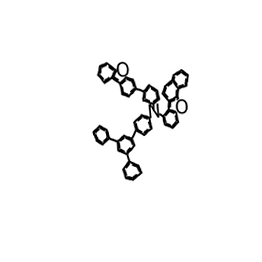 c1ccc(-c2cc(-c3ccccc3)cc(-c3ccc(N(c4cccc(-c5ccc6c(c5)oc5ccccc56)c4)c4cccc5oc6c7ccccc7ccc6c45)cc3)c2)cc1